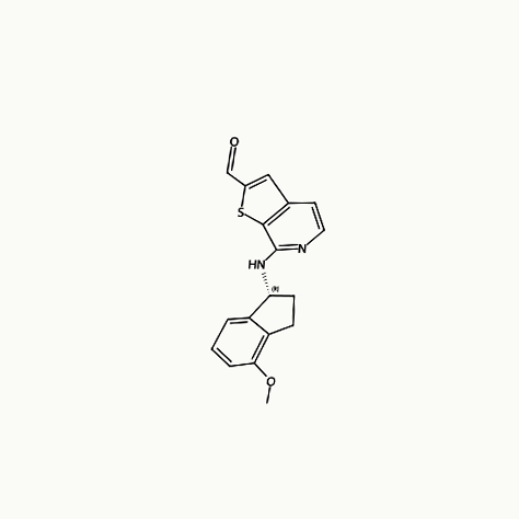 COc1cccc2c1CC[C@H]2Nc1nccc2cc(C=O)sc12